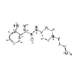 CCCCN1CCC(NC(=O)c2n[nH]c3ccccc23)CC1